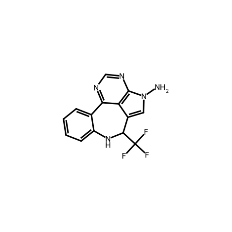 Nn1cc2c3c(ncnc31)-c1ccccc1NC2C(F)(F)F